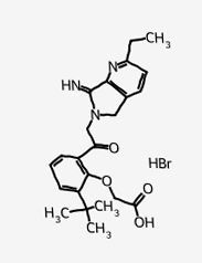 Br.CCc1ccc2c(n1)C(=N)N(CC(=O)c1cccc(C(C)(C)C)c1OCC(=O)O)C2